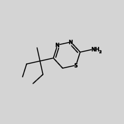 CCC(C)(CC)C1=NN=C(N)SC1